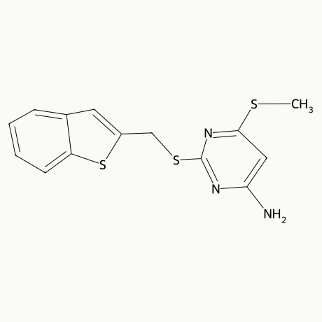 CSc1cc(N)nc(SCc2cc3ccccc3s2)n1